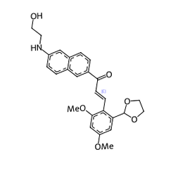 COc1cc(OC)c(/C=C/C(=O)c2ccc3cc(NCCO)ccc3c2)c(C2OCCO2)c1